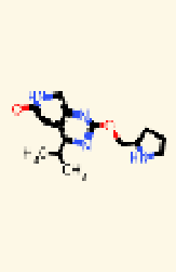 CC(C)c1nc(OCC2CCCN2)nc2c[nH]c(=O)cc12